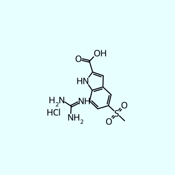 CS(=O)(=O)c1ccc2[nH]c(C(=O)O)cc2c1.Cl.N=C(N)N